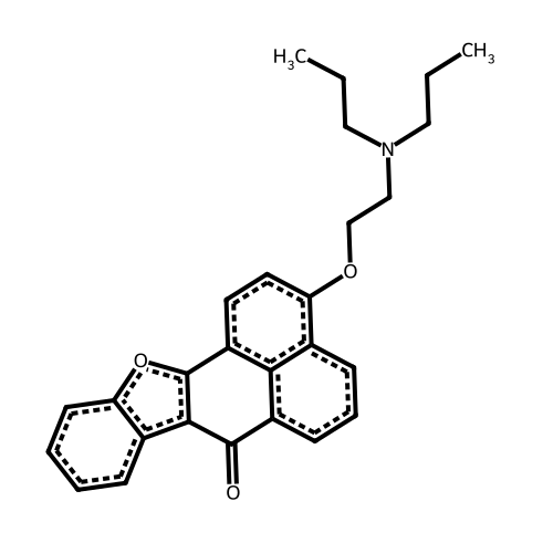 CCCN(CCC)CCOc1ccc2c3c(cccc13)C(=O)c1c-2oc2ccccc12